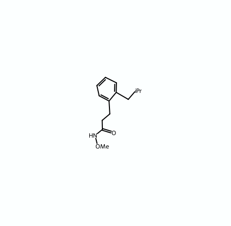 CONC(=O)CCc1ccccc1CC(C)C